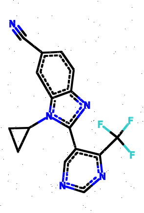 N#Cc1ccc2nc(-c3cncnc3C(F)(F)F)n(C3CC3)c2c1